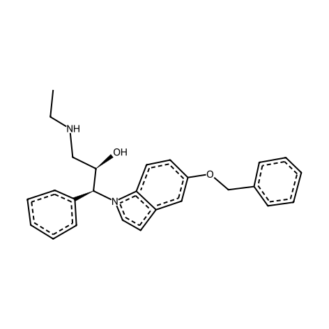 CCNC[C@@H](O)[C@H](c1ccccc1)n1ccc2cc(OCc3ccccc3)ccc21